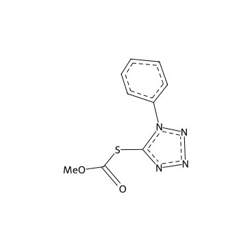 COC(=O)Sc1nnnn1-c1ccccc1